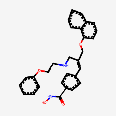 O=C(NO)c1ccc(C=C(CNCCOc2ccccc2)COc2cccc3ccccc23)cc1